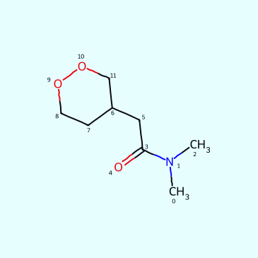 CN(C)C(=O)CC1CCOOC1